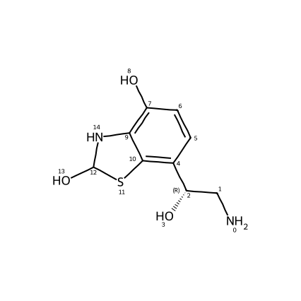 NC[C@H](O)c1ccc(O)c2c1SC(O)N2